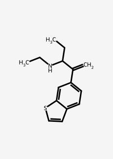 C=C(c1ccc2ccsc2c1)C(CC)NCC